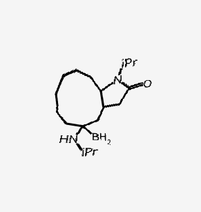 BC1(NC(C)C)CCCCCCC2C(CC(=O)N2C(C)C)C1